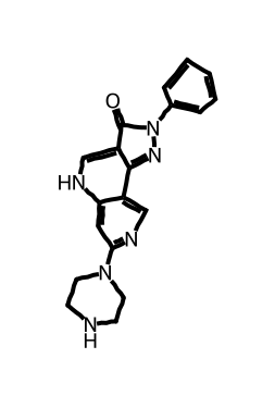 O=c1c2c[nH]c3cc(N4CCNCC4)ncc3c-2nn1-c1ccccc1